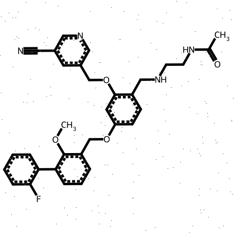 COc1c(COc2ccc(CNCCNC(C)=O)c(OCc3cncc(C#N)c3)c2)cccc1-c1ccccc1F